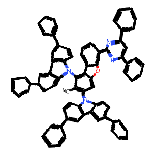 N#Cc1c(-n2c3ccc(-c4ccccc4)cc3c3cc(-c4ccccc4)ccc32)cc2oc3c(-c4nc(-c5ccccc5)cc(-c5ccccc5)n4)cccc3c2c1-n1c2ccc(-c3ccccc3)cc2c2cc(-c3ccccc3)ccc21